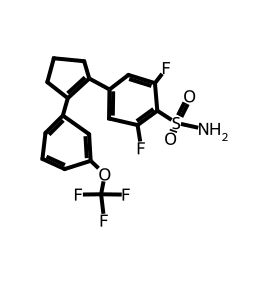 NS(=O)(=O)c1c(F)cc(C2=C(c3cccc(OC(F)(F)F)c3)CCC2)cc1F